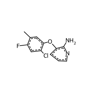 Cc1cc(Oc2cccnc2N)c(Cl)cc1F